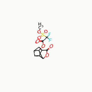 COS(=O)(=O)C(F)(F)C(=O)OC1C2CC3C(=O)OC1C3C2